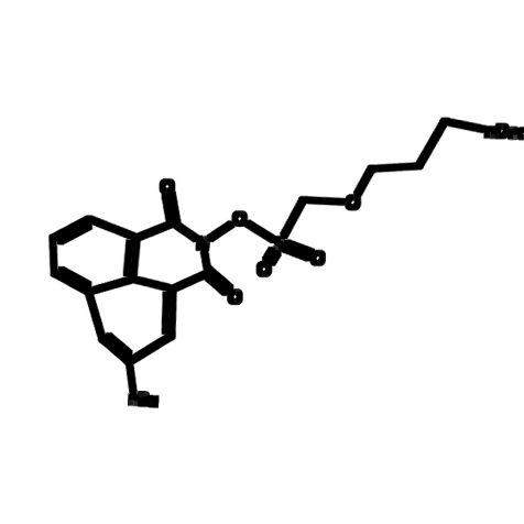 CCCCCCCCCCCCCOCS(=O)(=O)ON1C(=O)c2cccc3cc(CCCC)cc(c23)C1=O